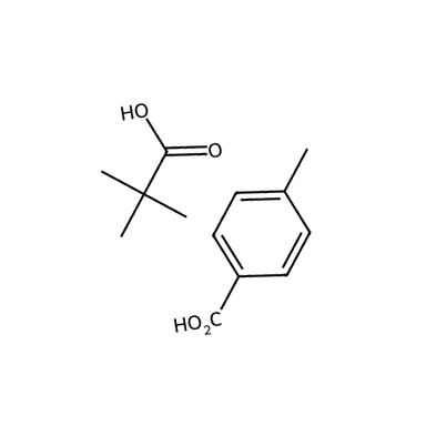 CC(C)(C)C(=O)O.Cc1ccc(C(=O)O)cc1